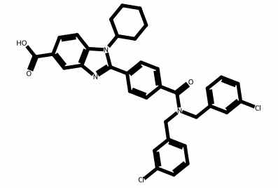 O=C(O)c1ccc2c(c1)nc(-c1ccc(C(=O)N(Cc3cccc(Cl)c3)Cc3cccc(Cl)c3)cc1)n2C1CCCCC1